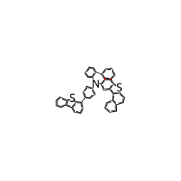 c1ccc(-c2ccccc2N(c2ccc(-c3cccc4c3sc3ccccc34)cc2)c2ccc3sc4ccc5ccccc5c4c3c2)cc1